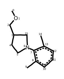 COCC1CCN(c2c(C)cccc2C)C1